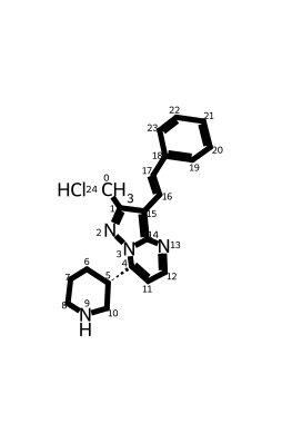 Cc1nn2c([C@H]3CCCNC3)ccnc2c1/C=C/c1ccccc1.Cl